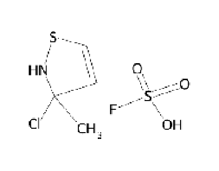 CC1(Cl)C=CSN1.O=S(=O)(O)F